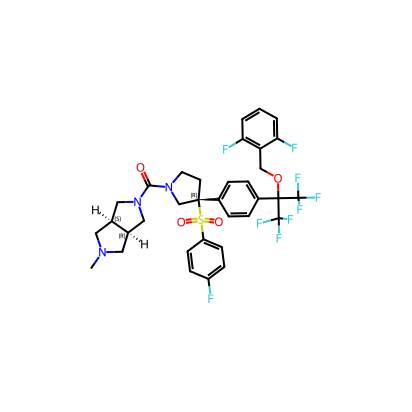 CN1C[C@@H]2CN(C(=O)N3CC[C@](c4ccc(C(OCc5c(F)cccc5F)(C(F)(F)F)C(F)(F)F)cc4)(S(=O)(=O)c4ccc(F)cc4)C3)C[C@@H]2C1